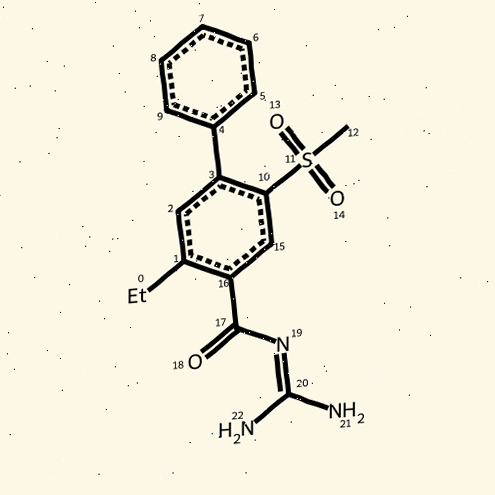 CCc1cc(-c2ccccc2)c(S(C)(=O)=O)cc1C(=O)N=C(N)N